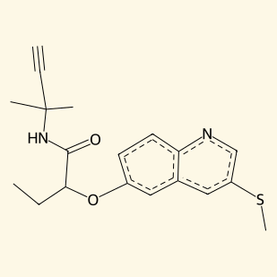 C#CC(C)(C)NC(=O)C(CC)Oc1ccc2ncc(SC)cc2c1